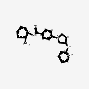 Nc1ccccc1NC(=O)c1ccc(N2CCC(Sc3ccccn3)C2)cc1